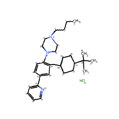 CCCCN1CCN(c2ccc(-c3ccccn3)cc2C2CCC(C(C)(C)C)CC2)CC1.Cl